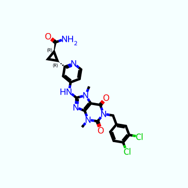 Cn1c(Nc2ccnc([C@@H]3C[C@H]3C(N)=O)c2)nc2c1c(=O)n(Cc1ccc(Cl)c(Cl)c1)c(=O)n2C